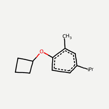 Cc1cc(C(C)C)ccc1OC1CCC1